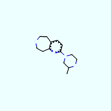 CC1CN(c2ccc3c(n2)CCNCC3)CCN1